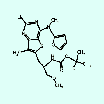 COC[C@@H](Cc1sc2c(N(C)c3ccco3)nc(Cl)nc2c1C)NC(=O)OC(C)(C)C